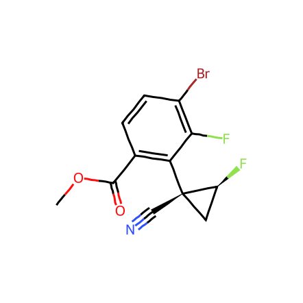 COC(=O)c1ccc(Br)c(F)c1[C@@]1(C#N)C[C@@H]1F